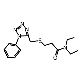 CCN(CC)C(=O)CCSCc1nnnn1-c1ccccc1